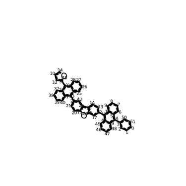 c1ccc(-c2c3ccccc3c(-c3ccc4c(c3)oc3ccc(-c5c6ccccc6c(-c6ccco6)c6ccccc56)cc34)c3ccccc23)cc1